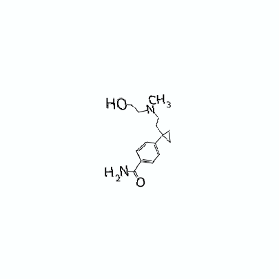 CN(CCO)CCC1(c2ccc(C(N)=O)cc2)CC1